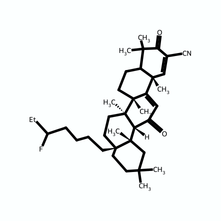 CCC(F)CCCC[C@]12CCC(C)(C)C[C@@]1(C)[C@H]1C(=O)C=C3[C@@]4(C)C=C(C#N)C(=O)C(C)(C)C4CC[C@@]3(C)[C@]1(C)CC2